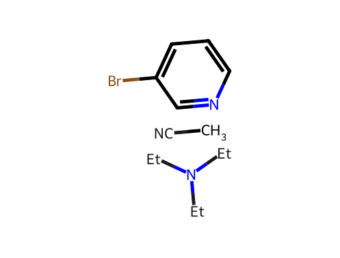 Brc1cccnc1.CC#N.CCN(CC)CC